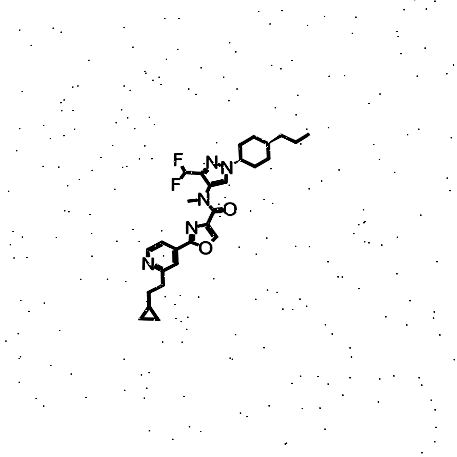 CCC[C@H]1CC[C@H](n2cc(N(C)C(=O)c3coc(-c4ccnc(CCC5CC5)c4)n3)c(C(F)F)n2)CC1